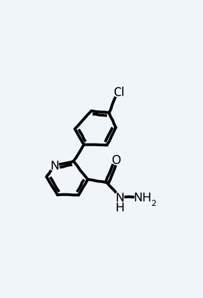 NNC(=O)c1cccnc1-c1ccc(Cl)cc1